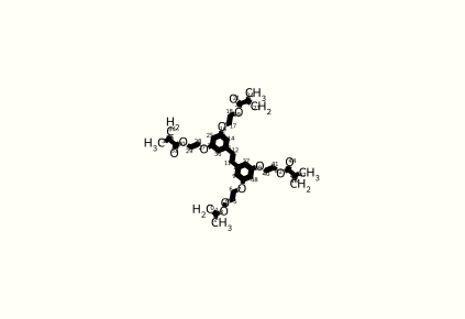 C=C(C)OO/C=C/Oc1cc(/C=C/c2cc(O/C=C/OC(=O)C(=C)C)cc(O/C=C/OC(=O)C(=C)C)c2)cc(O/C=C/OC(=O)C(=C)C)c1